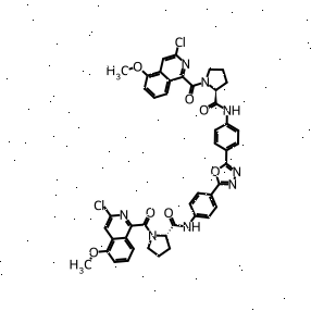 COc1cccc2c(C(=O)N3CCC[C@H]3C(=O)Nc3ccc(-c4nnc(-c5ccc(NC(=O)[C@@H]6CCCN6C(=O)c6nc(Cl)cc7c(OC)cccc67)cc5)o4)cc3)nc(Cl)cc12